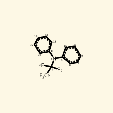 FC(F)(F)C(F)(F)N(c1ccccc1)c1ccccc1